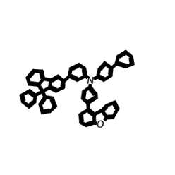 c1ccc(-c2ccc(N(c3ccc(-c4cccc5oc6ccccc6c45)cc3)c3cccc(-c4ccc5c(c4)-c4ccccc4C5(c4ccccc4)c4ccccc4)c3)cc2)cc1